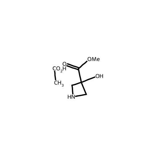 CC(=O)O.COC(=O)C1(O)CNC1